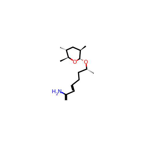 C=C(N)/C=C/CC[C@@H](C)O[C@@H]1O[C@@H](C)[C@H](C)C[C@H]1C